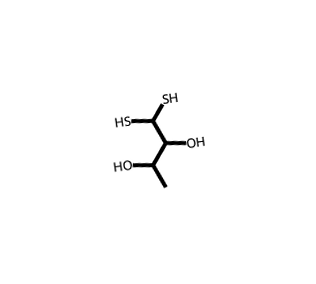 CC(O)C(O)C(S)S